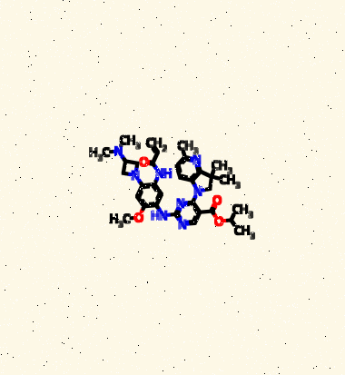 C=CC(=O)Nc1cc(Nc2ncc(C(=O)OC(C)C)c(N3CC(C)(C)c4nc(C)ccc43)n2)c(OC)cc1N1CC(N(C)C)C1